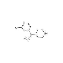 O=C(O)N(c1ccnc(Cl)c1)C1CCNCC1